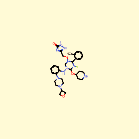 N#Cc1ccccc1C1N(OCc2nc(=O)[nH][nH]2)CN(Nc2ccccc2N2CCN(C3COC3)CC2)C(OC2CCNCC2)N1F